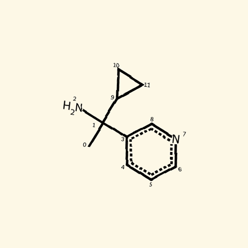 CC(N)(c1cccnc1)C1CC1